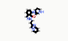 O=c1c2c(N3CC4CC3CCN4)cccc2cnn1CCc1cn2ccccc2n1